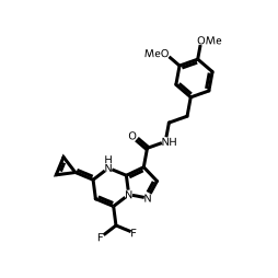 COc1ccc(CCNC(=O)c2cnn3c2NC(=C2C=C2)C=C3C(F)F)cc1OC